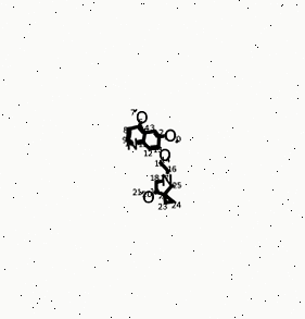 COc1cc2c(OC)ccnc2cc1OCCN1CC(OC)C2(CC2)C1